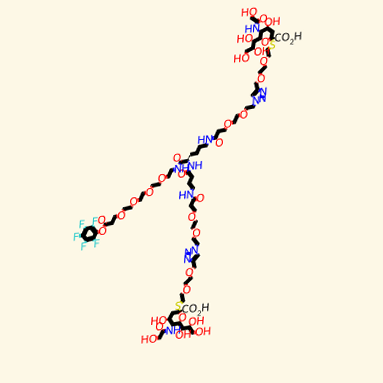 O=C(CCOCCOCCn1cc(COCCOCCS[C@@]2(C(=O)O)C[C@H](O)[C@@H](NC(=O)CO)[C@H]([C@H](O)[C@H](O)CO)O2)nn1)NCCCC[C@H](NC(=O)CCCNC(=O)CCOCCOCCn1cc(COCCOCCS[C@@]2(C(=O)O)C[C@H](O)[C@@H](NC(=O)CO)[C@H]([C@H](O)[C@H](O)CO)O2)nn1)C(=O)NCCOCCOCCOCCOCCC(=O)Oc1c(F)c(F)c(F)c(F)c1F